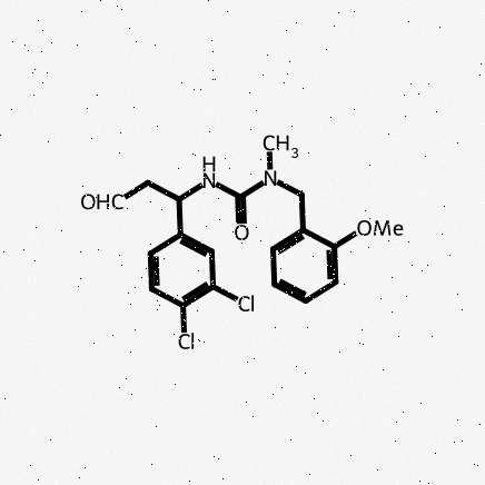 COc1ccccc1CN(C)C(=O)NC(CC=O)c1ccc(Cl)c(Cl)c1